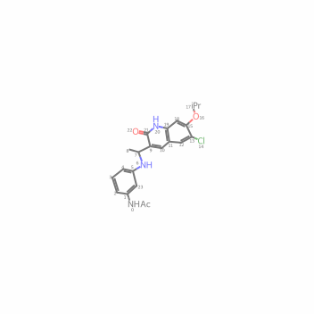 CC(=O)Nc1cccc(NC(C)c2cc3cc(Cl)c(OC(C)C)cc3[nH]c2=O)c1